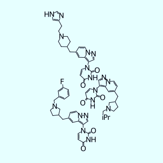 CC(C)CN1CCC(Cc2ccn3ncc(-n4ccc(=O)[nH]c4=O)c3c2)C1.O=c1ccn(-c2cnn3ccc(CC4CCN(CCc5c[nH]cn5)CC4)cc23)c(=O)[nH]1.O=c1ccn(-c2cnn3ccc(CC4CCN(Cc5cccc(F)c5)C4)cc23)c(=O)[nH]1